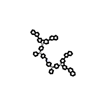 C1=CC2C(C=C1c1ccc3ccccc3c1)c1cc(-c3ccc4ccccc4c3)ccc1N2c1ccc(N(c2ccccc2)c2ccc(/C=C/c3ccc(N(c4ccccc4)c4ccc(-n5c6ccc(-c7ccc8ccccc8c7)cc6c6cc(-c7ccc8ccccc8c7)ccc65)cc4)cc3)cc2)cc1